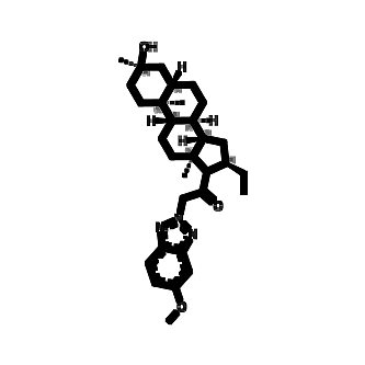 CC[C@@H]1C[C@H]2[C@@H]3CC[C@H]4C[C@](C)(O)CC[C@]4(C)[C@H]3CC[C@]2(C)C1C(=O)Cn1nc2ccc(OC)cc2n1